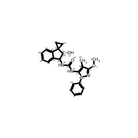 COc1nn(-c2ccccc2)c(NC(=O)NC2c3ccccc3C3(CC3)[C@@H]2O)c1C